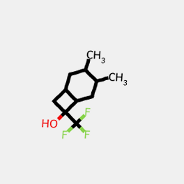 CC1CC2CC(O)(C(F)(F)F)C2CC1C